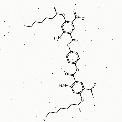 CCCCCC[C@@H](C)Oc1cc(N)c(C(=O)Oc2ccc(OC(=O)c3cc([N+](=O)[O-])c(O[C@H](C)CCCCCC)cc3N)cc2)cc1[N+](=O)[O-]